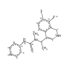 CC(C1=CNCc2c1ccc(F)c2F)N(C)C(=O)Nc1ccncc1